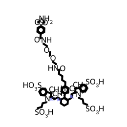 CC1(C)C(/C=C/C2=C(c3ccc(CCCCC(=O)NCCOCCOCCNC(=O)c4ccc(S(N)(=O)=O)cc4)cc3)C(=C/C=C3/N(CCCCS(=O)(=O)O)c4ccc(S(=O)(=O)O)cc4C3(C)C)/CCC2)=[N+](CCCCS(=O)(=O)O)c2ccc(S(=O)(=O)O)cc21